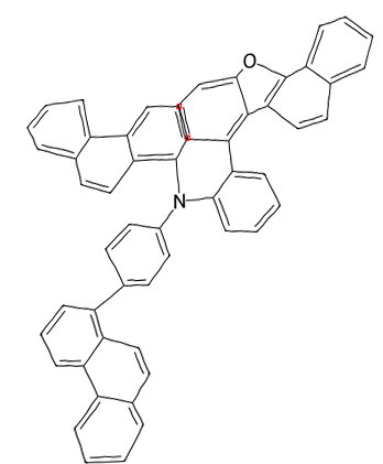 c1ccc(N(c2ccc(-c3cccc4c3ccc3ccccc34)cc2)c2cccc3c2ccc2ccccc23)c(-c2cccc3oc4c5ccccc5ccc4c23)c1